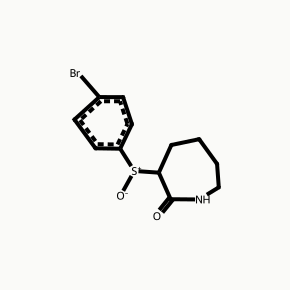 O=C1NCCCCC1[S+]([O-])c1ccc(Br)cc1